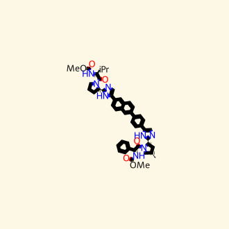 COC(=O)N[C@H](C(=O)N1CCC[C@H]1c1ncc(-c2ccc3cc(-c4ccc(-c5cnc([C@@H]6C[C@H](C)CN6C(=O)[C@H](NC(=O)OC)c6ccccc6)[nH]5)cc4)ccc3c2)[nH]1)C(C)C